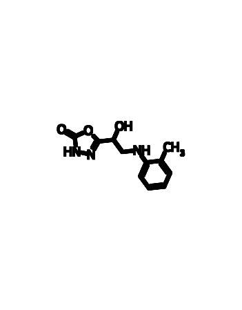 Cc1ccccc1NCC(O)c1n[nH]c(=O)o1